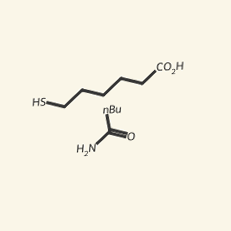 CCCCC(N)=O.O=C(O)CCCCCS